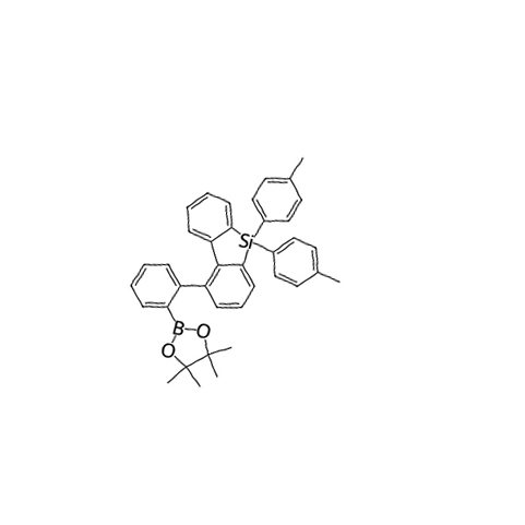 Cc1ccc([Si]2(c3ccc(C)cc3)c3ccccc3-c3c(-c4ccccc4B4OC(C)(C)C(C)(C)O4)cccc32)cc1